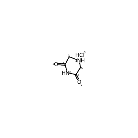 Cl.O=C1CNCC(=O)N1